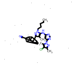 CCCCCn1nc(C23C4C5C6(C#N)C7C2C72C6C54C32)c(C)c1Nc1cc(-n2nc(C)c(Cl)c2C)ncn1